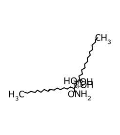 CCCCCCCCC=CCCCCCCC(C(N)=O)[C@@H](CO)[C@H](O)[C@H](O)CCCCCCCCCCCCCC